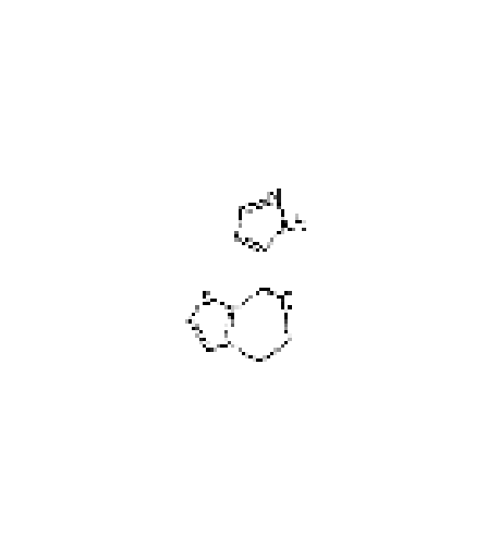 c1cc(C2OCCc3ccsc32)[nH]n1